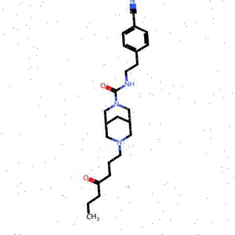 CCCC(=O)CCCN1CC2CC(C1)CN(C(=O)NCCc1ccc(C#N)cc1)C2